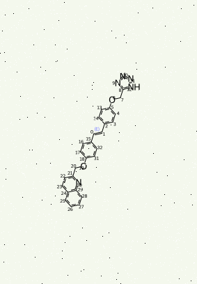 C(=C\c1ccc(OCc2nnn[nH]2)cc1)/c1ccc(OCc2ccc3ccccc3n2)cc1